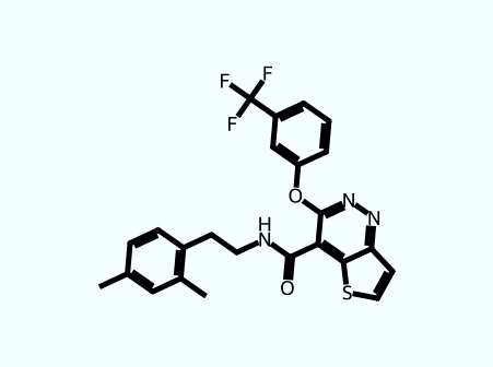 Cc1ccc(CCNC(=O)c2c(Oc3cccc(C(F)(F)F)c3)nnc3ccsc23)c(C)c1